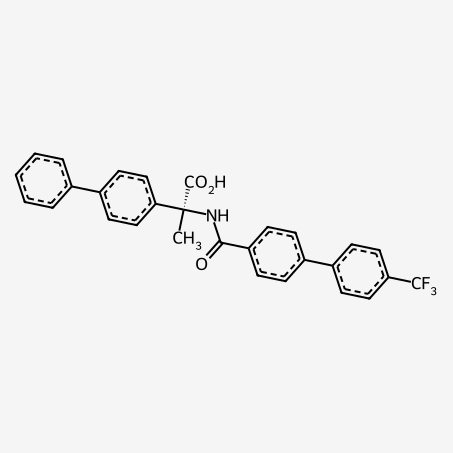 C[C@@](NC(=O)c1ccc(-c2ccc(C(F)(F)F)cc2)cc1)(C(=O)O)c1ccc(-c2ccccc2)cc1